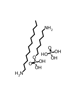 CCCCCCCCCCCCN.NCCCCCCOP(=O)(O)O.O=P(O)(O)O